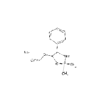 CC1(C)NC(c2ccccc2)C(OC=O)O1.[LiH]